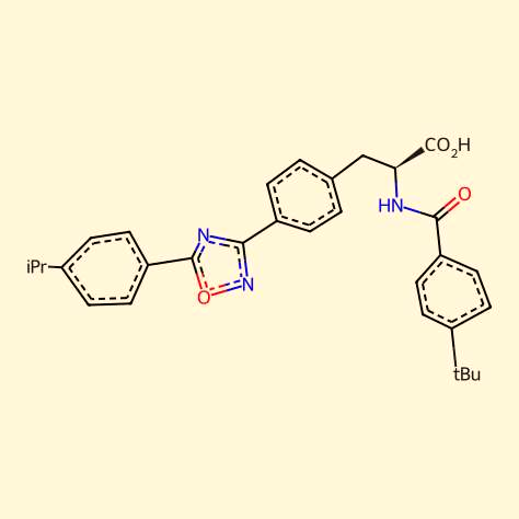 CC(C)c1ccc(-c2nc(-c3ccc(C[C@H](NC(=O)c4ccc(C(C)(C)C)cc4)C(=O)O)cc3)no2)cc1